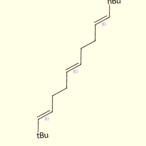 CCCC/C=C/CC/C=C/CC/C=C/C(C)(C)C